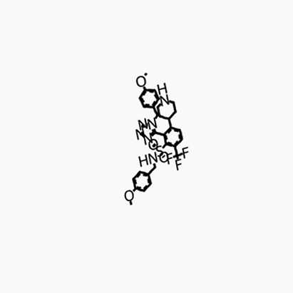 COc1ccc(CNS(=O)(=O)c2c(C(F)(F)F)ccc(C3CCNCC3)c2-c2nnnn2Cc2ccc(OC)cc2)cc1